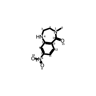 CN1CCNc2cc([N+](=O)[O-])ccc2C1=O